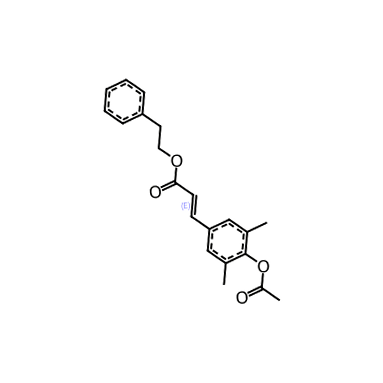 CC(=O)Oc1c(C)cc(/C=C/C(=O)OCCc2ccccc2)cc1C